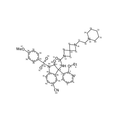 CCOc1ncccc1C1(NC(=O)N2CC3(CN(CCN4CCCCC4)C3)C2)C(=O)N(S(=O)(=O)c2ccc(OC)cc2)c2ccc(C#N)cc21